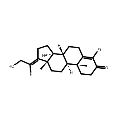 CCC1=C2CC[C@@H]3[C@H](CC[C@]4(C)C(=C(F)CO)CC[C@@H]34)[C@@]2(C)CCC1=O